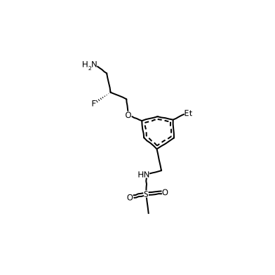 CCc1cc(CNS(C)(=O)=O)cc(OC[C@H](F)CN)c1